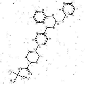 CC(C)(C)OC(=O)N1CC=C(c2ccc(CCN(Cc3ccccc3)Cc3ccccc3)cc2)CC1